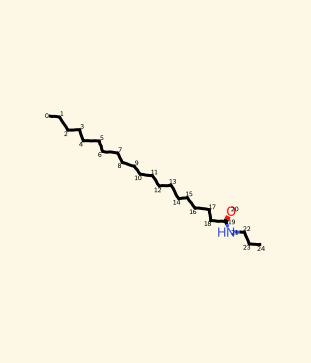 CCCCCCCCCCCCCCCCCCCC(=O)NCCC